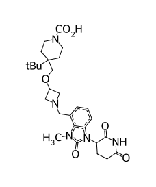 Cn1c(=O)n(C2CCC(=O)NC2=O)c2cccc(CN3CC(OCC4(C(C)(C)C)CCN(C(=O)O)CC4)C3)c21